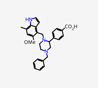 COc1cc(C)c2[nH]ccc2c1CN1CCN(Cc2ccccc2)CC1c1ccc(C(=O)O)cc1